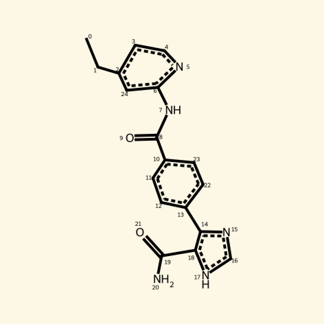 CCc1ccnc(NC(=O)c2ccc(-c3nc[nH]c3C(N)=O)cc2)c1